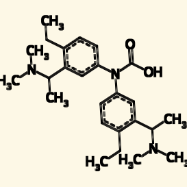 CCc1ccc(N(C(=O)O)c2ccc(CC)c(C(C)N(C)C)c2)cc1C(C)N(C)C